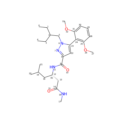 CCC(CC)Cn1nc(C(=O)N[C@H](CC(=O)NC)CC(C)C)cc1-c1c(OC)cccc1OC